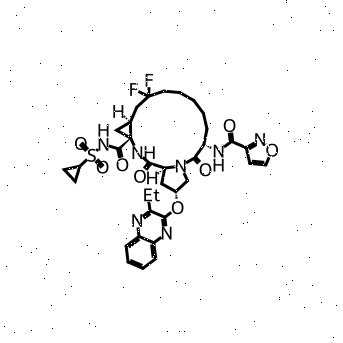 CCc1nc2ccccc2nc1O[C@@H]1C[C@H]2C(=O)N[C@]3(C(=O)NS(=O)(=O)C4CC4)C[C@H]3CC(F)(F)CCCCC[C@H](NC(=O)c3ccon3)C(=O)N2C1